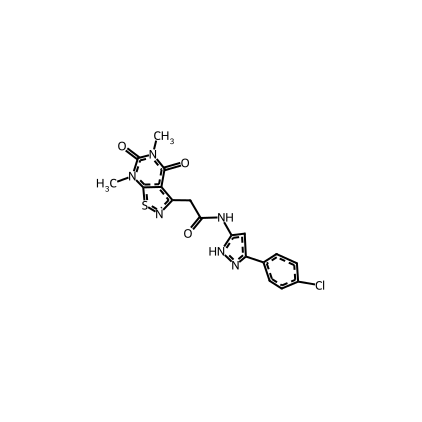 Cn1c(=O)c2c(CC(=O)Nc3cc(-c4ccc(Cl)cc4)n[nH]3)nsc2n(C)c1=O